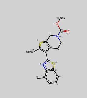 CC(=O)Nc1sc2c(c1-c1nc3c(C)cccc3s1)CCN(C(=O)OC(C)(C)C)C2